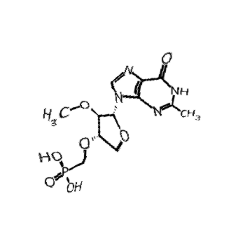 CO[C@@H]1[C@@H](OCP(=O)(O)O)CO[C@H]1n1cnc2c(=O)[nH]c(C)nc21